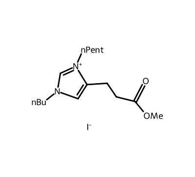 CCCCC[n+]1cn(CCCC)cc1CCC(=O)OC.[I-]